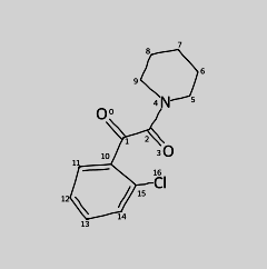 O=C(C(=O)N1CCCCC1)c1ccccc1Cl